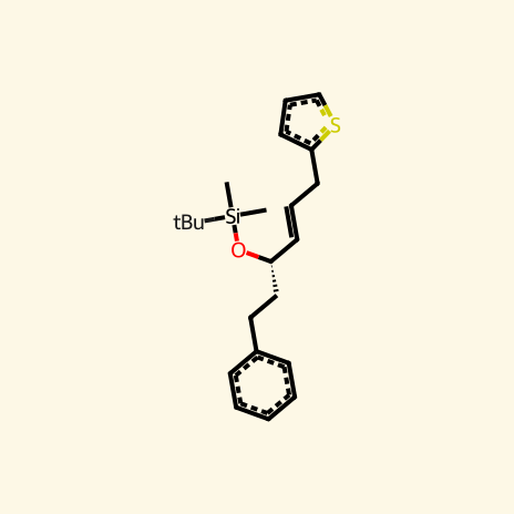 CC(C)(C)[Si](C)(C)O[C@H](/C=C/Cc1cccs1)CCc1ccccc1